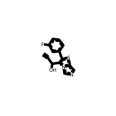 C#CC(O)c1c(-c2cccc(F)c2)sc2cncn12